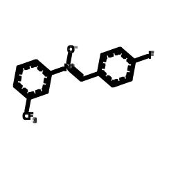 [O-][N+](=Cc1ccc(F)cc1)c1cccc(C(F)(F)F)c1